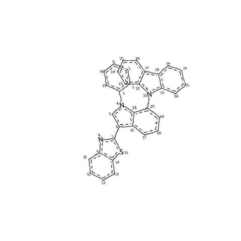 c1ccc(-n2cc(-c3nc4ccccc4s3)c3cccc(-n4c5ccccc5c5ccccc54)c32)cc1